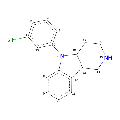 Fc1cccc(N2c3ccccc3C3CNCCC32)c1